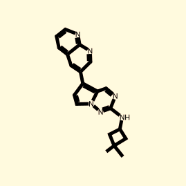 CC1(C)CC(Nc2ncc3c(-c4cnc5ncccc5c4)ccn3n2)C1